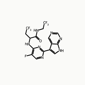 O=C(NCC(F)(F)F)C(CC(F)(F)F)Nc1nc(-c2c[nH]c3ncncc23)ncc1F